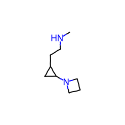 CNCCC1CC1N1CCC1